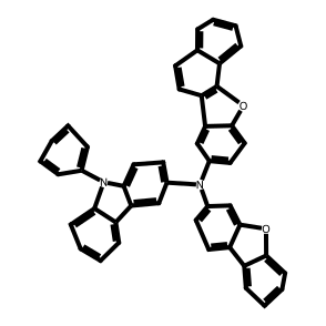 c1ccc(-n2c3ccccc3c3cc(N(c4ccc5c(c4)oc4ccccc45)c4ccc5oc6c7ccccc7ccc6c5c4)ccc32)cc1